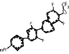 CCCc1ccc(-c2cc(F)c(-c3ccc4c(F)c(OC(F)(F)F)c(F)cc4c3)c(F)c2)cc1